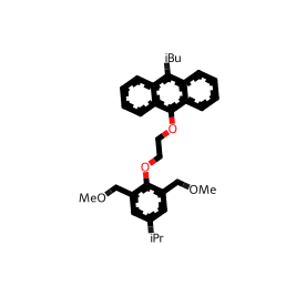 CCC(C)c1c2ccccc2c(OCCOc2c(COC)cc(C(C)C)cc2COC)c2ccccc12